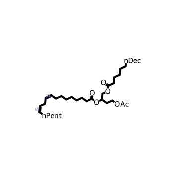 CCCCC/C=C\C/C=C\CCCCCCCC(=O)OC(CCOC(C)=O)COC(=O)CCCCCCCCCCCCCCC